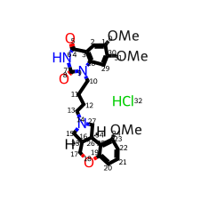 COc1cc2c(=O)[nH]c(=O)n(CCCCN3C[C@@H]4COc5cccc(OC)c5[C@@H]4C3)c2cc1OC.Cl